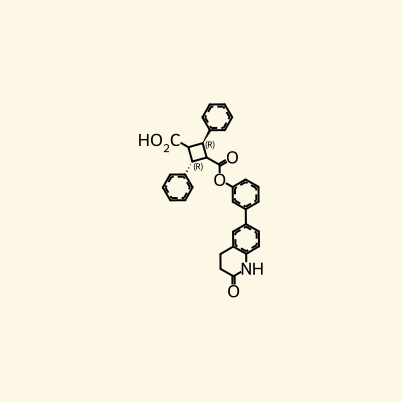 O=C1CCc2cc(-c3cccc(OC(=O)C4[C@H](c5ccccc5)C(C(=O)O)[C@H]4c4ccccc4)c3)ccc2N1